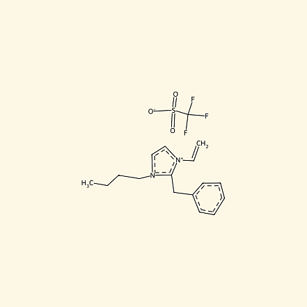 C=C[n+]1ccn(CCCC)c1Cc1ccccc1.O=S(=O)([O-])C(F)(F)F